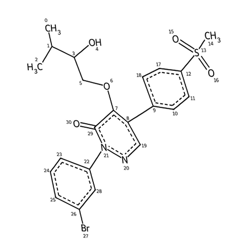 CC(C)C(O)COc1c(-c2ccc(S(C)(=O)=O)cc2)cnn(-c2cccc(Br)c2)c1=O